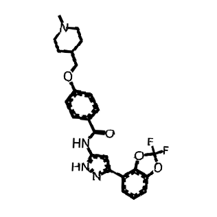 CN1CCC(COc2ccc(C(=O)Nc3cc(-c4cccc5c4OC(F)(F)O5)n[nH]3)cc2)CC1